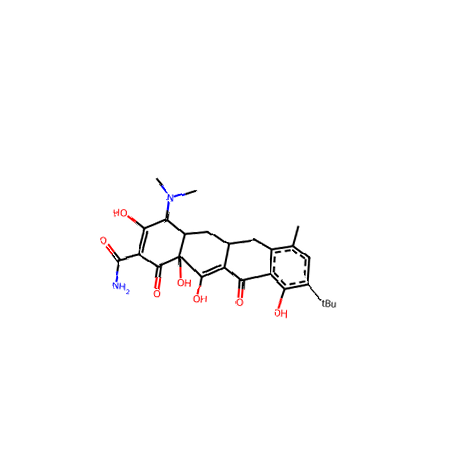 Cc1cc(C(C)(C)C)c(O)c2c1CC1CC3C(N(C)C)C(O)=C(C(N)=O)C(=O)C3(O)C(O)=C1C2=O